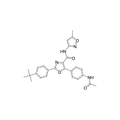 CC(=O)Nc1ccc(-c2oc(-c3ccc(C(C)(C)C)cc3)nc2C(=O)Nc2cc(C)on2)cc1